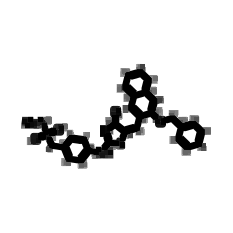 CNS(=O)(=O)Cc1ccc(NC2=NC(=O)C(=Cc3cc4ccccc4cc3OCc3ccccc3)S2)cc1